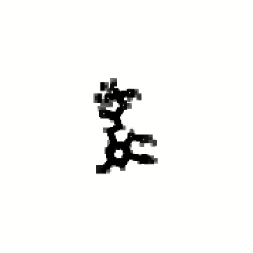 COc1c(C#N)cc(Br)cc1CCC(=O)OC(C)(C)C